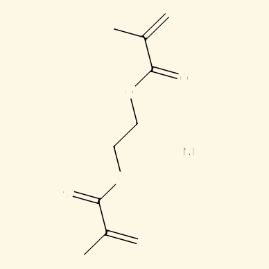 C=C(C)C(=O)OCCOC(=O)C(=C)C.N